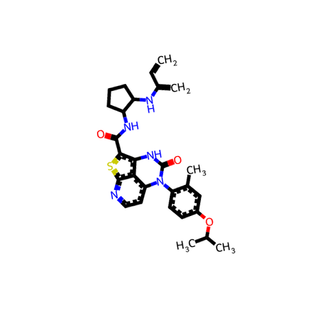 C=CC(=C)NC1CCCC1NC(=O)c1sc2nccc3c2c1NC(=O)N3c1ccc(OC(C)C)cc1C